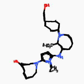 Cn1c(NC2CCCN(C3CCC(CO)CC3)C2C(=O)O)ccc1N1CCCCC(O)C1